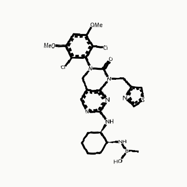 COc1cc(OC)c(Cl)c(N2Cc3cnc(N[C@@H]4CCCC[C@@H]4NB(C)O)nc3N(Cc3cscn3)C2=O)c1Cl